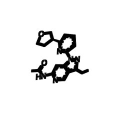 CCc1nn(-c2cccc([C@H]3CCOC3)n2)c2cc(NC(C)=O)ncc12